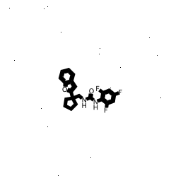 O=C(NCC1(c2cc3ccccc3o2)CCCC1)Nc1c(F)cc(F)cc1F